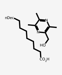 CCCCCCCCCCCCCCCCCC(=O)O.Cc1nc(C)c(CO)nc1C